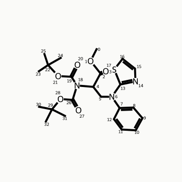 COC(=O)C(CN(c1ccccc1)c1nccs1)N(C(=O)OC(C)(C)C)C(=O)OC(C)(C)C